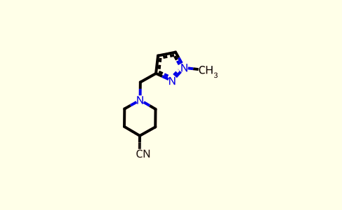 Cn1ccc(CN2CCC(C#N)CC2)n1